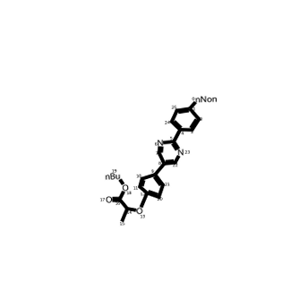 CCCCCCCCCc1ccc(-c2ncc(-c3ccc(OC(C)C(=O)OCCCC)cc3)cn2)cc1